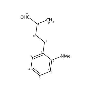 CNc1ccccc1CCC(C)C=O